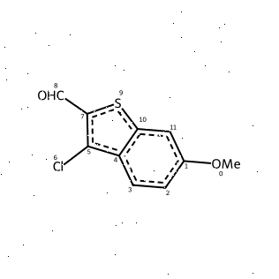 COc1ccc2c(Cl)c(C=O)sc2c1